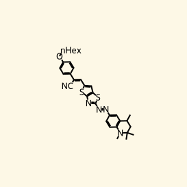 CCCCCCOc1ccc(/C(C#N)=C/c2cc3sc(/N=N/c4ccc5c(c4)C(C)CC(C)(C)N5C)nc3s2)cc1